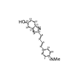 CNc1ccc(C=CC=Cc2nc3ccc(O)cc3s2)cc1